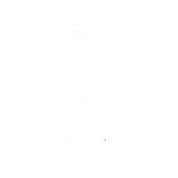 NCC1CCC(C(=O)Nc2cc[nH]c3cncc2-3)CC1